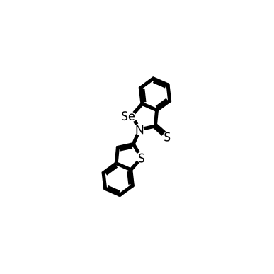 S=c1c2ccccc2[se]n1-c1cc2ccccc2s1